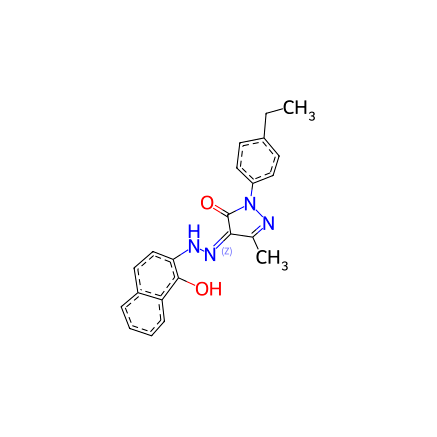 CCc1ccc(N2N=C(C)/C(=N/Nc3ccc4ccccc4c3O)C2=O)cc1